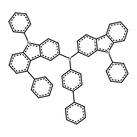 c1ccc(-c2ccc(N(c3ccc4c(c3)c3c(-c5ccccc5)cccc3n4-c3ccccc3)c3ccc4c5ccccc5n(-c5ccccc5)c4c3)cc2)cc1